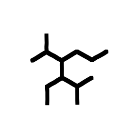 CCCC(C(C)C)C(CC)C(C)C